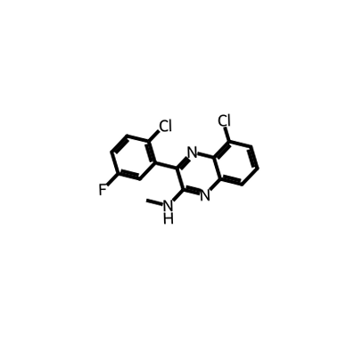 CNc1nc2cccc(Cl)c2nc1-c1cc(F)ccc1Cl